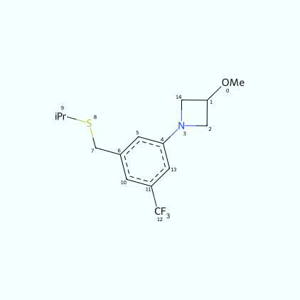 COC1CN(c2cc(CSC(C)C)cc(C(F)(F)F)c2)C1